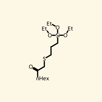 CCCCCCC(=O)CSCCC[Si](OCC)(OCC)OCC